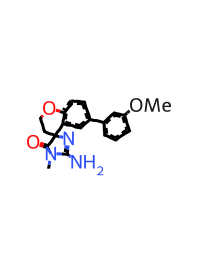 COc1cccc(-c2ccc3c(c2)C2(CCO3)N=C(N)N(C)C2=O)c1